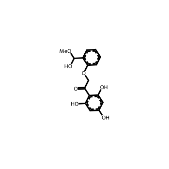 COC(O)c1ccccc1OCC(=O)c1c(O)cc(O)cc1O